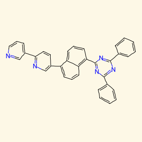 c1ccc(-c2nc(-c3ccccc3)nc(-c3cccc4c(-c5ccc(-c6cccnc6)nc5)cccc34)n2)cc1